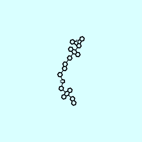 c1cc(-c2ccc3cc(-c4ccc(-c5c6ccccc6c(-c6ccc7c8ccccc8n8c9ccccc9c6c78)c6ccccc56)cc4)ccc3c2)cc(-c2ccc(-c3cccc(-c4c5ccccc5c(-c5ccc6ccccc6c5)c5ccccc45)c3)s2)c1